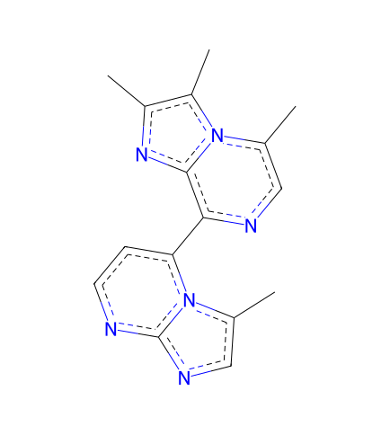 Cc1nc2c(-c3ccnc4ncc(C)n34)ncc(C)n2c1C